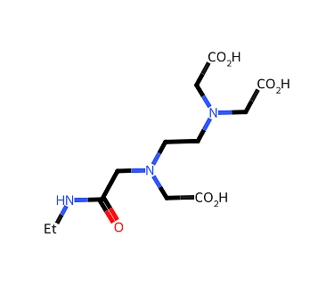 CCNC(=O)CN(CCN(CC(=O)O)CC(=O)O)CC(=O)O